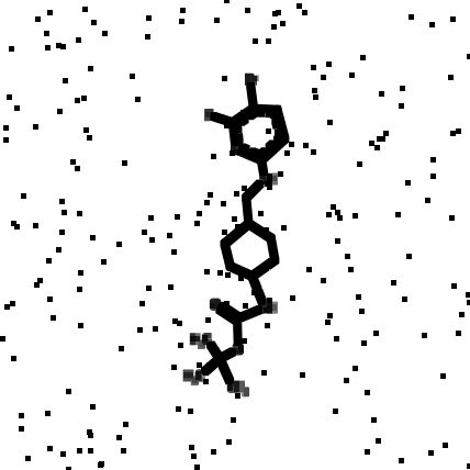 CC(C)(C)OC(=O)NC1CCC(CNc2ccc(Br)c(F)n2)CC1